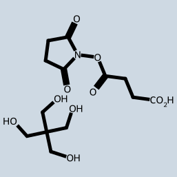 O=C(O)CCC(=O)ON1C(=O)CCC1=O.OCC(CO)(CO)CO